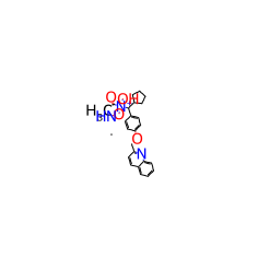 CC(=O)[N+](O)(O[NH])C(c1ccc(OCc2ccc3ccccc3n2)cc1)C1CCCC1